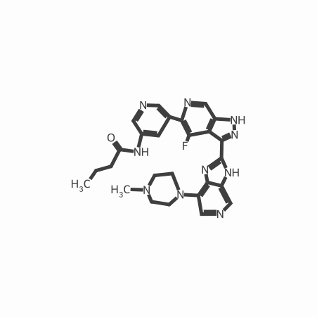 CCCC(=O)Nc1cncc(-c2ncc3[nH]nc(-c4nc5c(N6CCN(C)CC6)cncc5[nH]4)c3c2F)c1